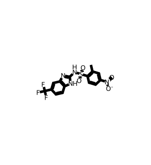 Cc1cc([N+](=O)[O-])ccc1S(=O)(=O)Nc1nc2cc(C(F)(F)F)ccc2[nH]1